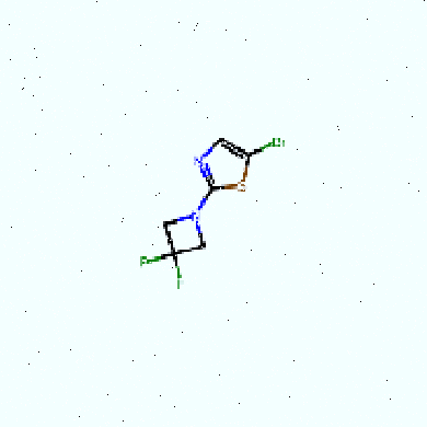 FC1(F)CN(c2ncc(Br)s2)C1